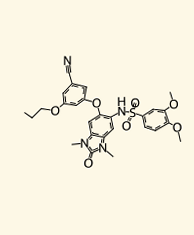 CCCOc1cc(C#N)cc(Oc2cc3c(cc2NS(=O)(=O)c2ccc(OC)c(OC)c2)n(C)c(=O)n3C)c1